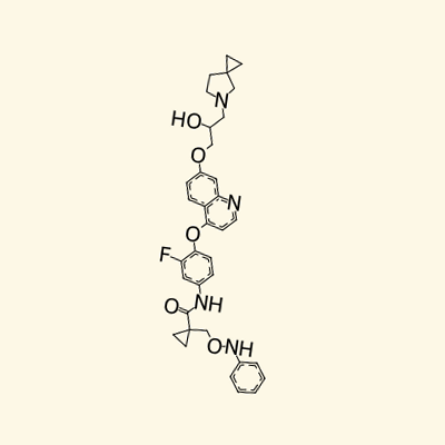 O=C(Nc1ccc(Oc2ccnc3cc(OCC(O)CN4CCC5(CC5)C4)ccc23)c(F)c1)C1(CONc2ccccc2)CC1